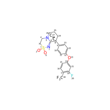 O=S1(=O)CCN2C(=N1)C1(c3ccc(Oc4ccc(C(F)(F)F)c(F)c4)cc3)CCC2CC1